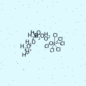 O.O.O.O.O.O.[Cl][Os-2]([Cl])([Cl])([Cl])([Cl])[Cl].[H+].[H+]